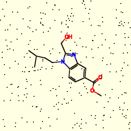 COC(=O)c1ccc2c(c1)nc(CO)n2CCC(C)C